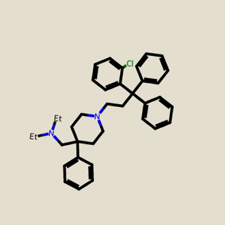 CCN(CC)CC1(c2ccccc2)CCN(CCC(c2ccccc2)(c2ccccc2)c2ccccc2Cl)CC1